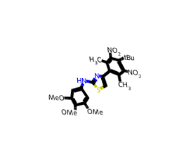 COc1cc(Nc2nc(-c3c(C)c([N+](=O)[O-])c(C(C)(C)C)c([N+](=O)[O-])c3C)cs2)cc(OC)c1OC